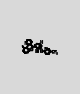 Cc1cccnc1-c1ncccc1C(=O)N1C[C@H]2C[C@@H](Oc3ccc(C(F)(F)F)cn3)[C@@H]1C2